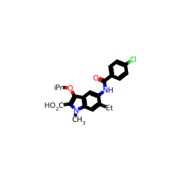 CCc1cc2c(cc1NC(=O)c1ccc(Cl)cc1)c(OC(C)C)c(C(=O)O)n2C